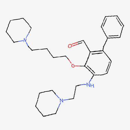 O=Cc1c(-c2ccccc2)ccc(NCCN2CCCCC2)c1OCCCCN1CCCCC1